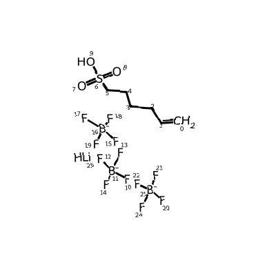 C=CCCCCS(=O)(=O)O.F[B-](F)(F)F.F[B-](F)(F)F.F[B-](F)(F)F.[LiH]